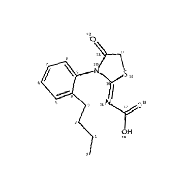 CCCCc1ccccc1N1C(=O)CSC1=NC(=O)O